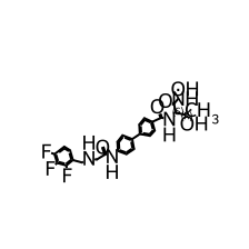 C[C@@H](O)[C@H](NC(=O)c1ccc(-c2ccc(NC(=O)CNCc3ccc(F)c(F)c3F)cc2)cc1)C(=O)NO